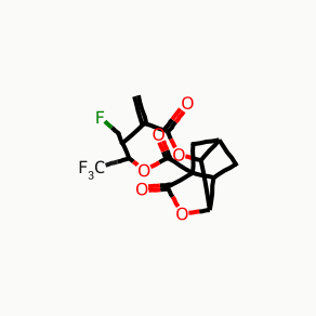 C=C(C)C(=O)OC1C2CC3C1OC(=O)C3(C(=O)OC(CF)C(F)(F)F)C2